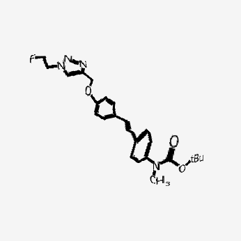 CN(C(=O)OC(C)(C)C)c1ccc(/C=C/c2ccc(OCc3cn(CCF)nn3)cc2)cc1